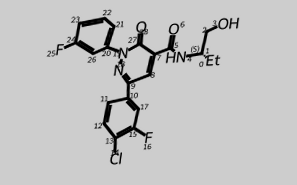 CC[C@@H](CO)NC(=O)c1cc(-c2ccc(Cl)c(F)c2)nn(-c2cccc(F)c2)c1=O